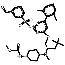 COC(=O)N[C@H]1CC[C@@H](N(C)[C@@H](COc2cc(-c3c(C)cccc3C)nc(NS(=O)(=O)c3cccc(C=O)c3)n2)CC(C)(C)C)CC1